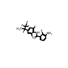 CC(F)(c1cc(I)c(NC(=O)c2cccc(N)c2F)c(I)c1)C(F)(F)F